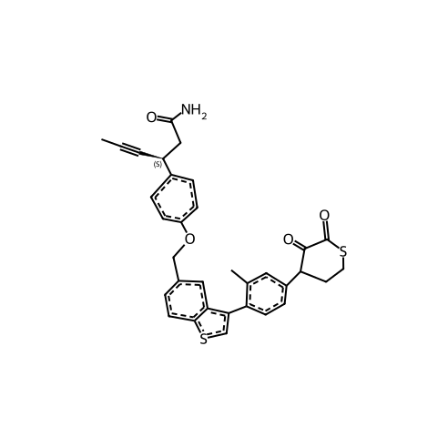 CC#C[C@@H](CC(N)=O)c1ccc(OCc2ccc3scc(-c4ccc(C5CCSC(=O)C5=O)cc4C)c3c2)cc1